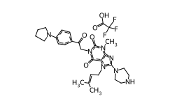 CC(C)=CCn1c(N2CCNCC2)nc2c1c(=O)n(CC(=O)c1ccc(N3CCCC3)cc1)c(=O)n2C.O=C(O)C(F)(F)F